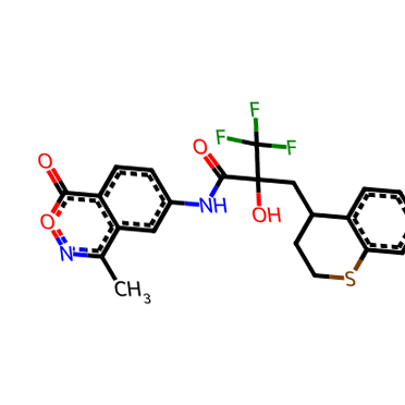 Cc1noc(=O)c2ccc(NC(=O)C(O)(CC3CCSc4ccccc43)C(F)(F)F)cc12